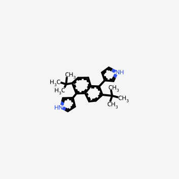 CC(C)(C)c1ccc2c(-c3cc[nH]c3)c(C(C)(C)C)ccc2c1-c1cc[nH]c1